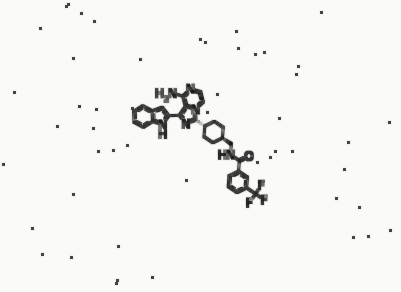 Nc1nccn2c1c(-c1cc3ccccc3[nH]1)nc2[C@H]1CC[C@H](CNC(=O)c2cccc(C(F)(F)F)c2)CC1